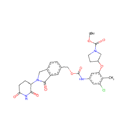 Cc1c(Cl)cc(NC(=O)OCc2ccc3c(c2)C(=O)N(C2CCC(=O)NC2=O)C3)cc1OC1CCN(C(=O)OC(C)(C)C)C1